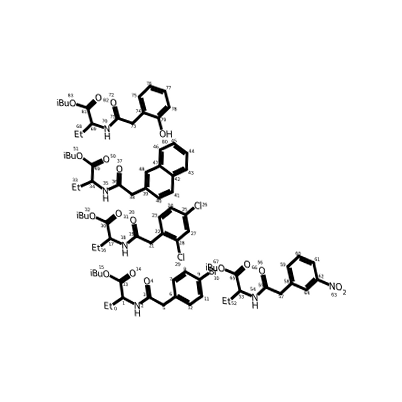 CCC(NC(=O)Cc1ccc(Br)cc1)C(=O)OCC(C)C.CCC(NC(=O)Cc1ccc(Cl)cc1Cl)C(=O)OCC(C)C.CCC(NC(=O)Cc1ccc2ccccc2c1)C(=O)OCC(C)C.CCC(NC(=O)Cc1cccc([N+](=O)[O-])c1)C(=O)OCC(C)C.CCC(NC(=O)Cc1ccccc1O)C(=O)OCC(C)C